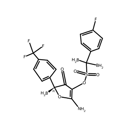 BC(B)(c1ccc(F)cc1)S(=O)(=O)OC1=C(N)O[C@](B)(c2ccc(C(F)(F)F)cc2)C1=O